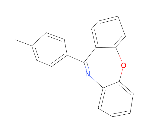 Cc1ccc(C2=Nc3ccccc3Oc3ccccc32)cc1